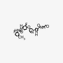 Cc1ccc(F)c(NC(=O)Nc2ccc(Oc3ccnc(-c4cc(C(=O)NCCC=O)c[nH]4)c3)c(F)c2)c1